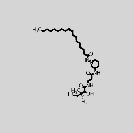 CCCCCCCC/C=C\CCCCCCCC(=O)NN1CCCC(NC(=O)CCNC(=O)C(O)C(C)(C)CO)C1